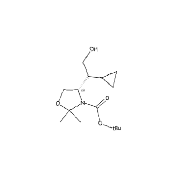 CC(C)(C)OC(=O)N1[C@@H](C(CO)C2CC2)COC1(C)C